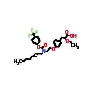 CCCCCCCCN(CCOc1ccc(CC(OCC)C(=O)O)cc1)C(=O)Oc1ccc(C(F)(F)F)cc1